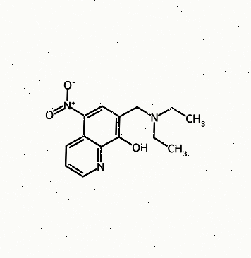 CCN(CC)Cc1cc([N+](=O)[O-])c2cccnc2c1O